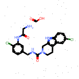 NCC(=O)Nc1cc(CNC(=O)N2CCc3c([nH]c4ccc(Cl)cc34)C2)ccc1Cl.O=CO